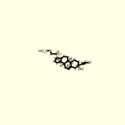 C[C@]12CC[C@H]3[C@@H](CC=C4C[C@@](O)(C#CCl)CC[C@@H]43)[C@@H]1CC[C@@H]2C(=O)CSS(=O)(=O)O